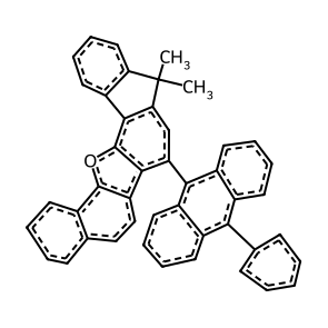 CC1(C)c2ccccc2-c2c1cc(-c1c3ccccc3c(-c3ccccc3)c3ccccc13)c1c2oc2c3ccccc3ccc21